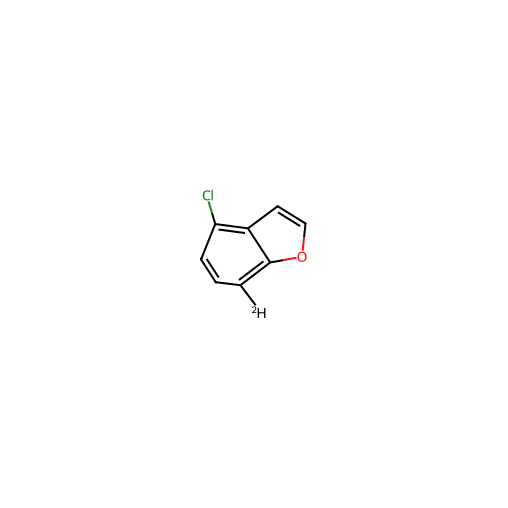 [2H]c1ccc(Cl)c2ccoc12